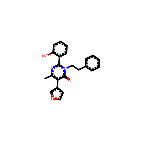 Cc1nc(-c2ccccc2O)n(CCc2ccccc2)c(=O)c1-c1ccoc1